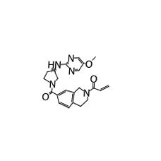 C=CC(=O)N1CCc2ccc(C(=O)N3CC[C@@H](Nc4ncc(OC)cn4)C3)cc2C1